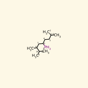 CC(C)CCC(P)CC(C)C(C)C